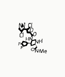 CNC(=O)C[C@@H]1C[C@@H](c2ccc(F)c(F)c2)[C@H](NC(=O)c2cc(-c3c(Cl)cnn3C)c(Cl)o2)CN1